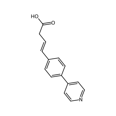 O=C(O)C/C=C/c1ccc(-c2ccncc2)cc1